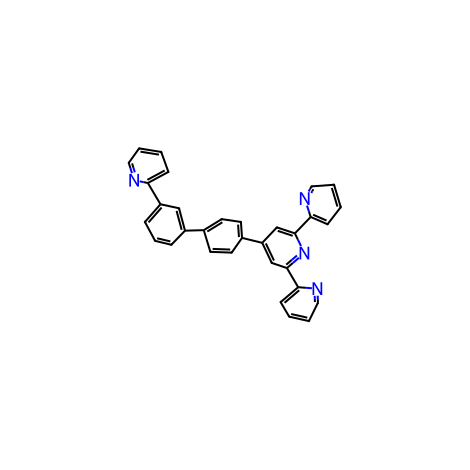 c1ccc(-c2cccc(-c3ccc(-c4cc(-c5ccccn5)nc(-c5ccccn5)c4)cc3)c2)nc1